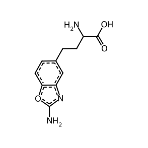 Nc1nc2cc(CCC(N)C(=O)O)ccc2o1